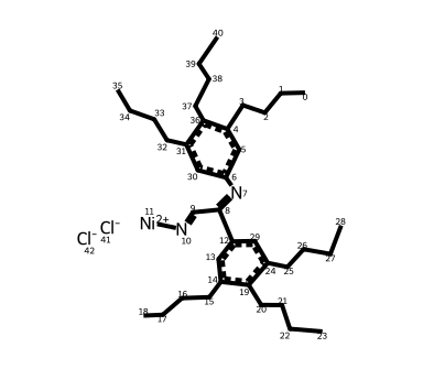 CCCCc1cc(N=C(C=[N][Ni+2])c2cc(CCCC)c(CCCC)c(CCCC)c2)cc(CCCC)c1CCCC.[Cl-].[Cl-]